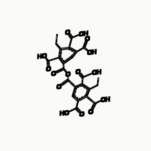 CCc1c(C(=O)O)c(C(=O)O)cc(C(=O)OC(=O)c2cc(C(=O)O)c(C(=O)O)c(CC)c2C(=O)O)c1C(=O)O